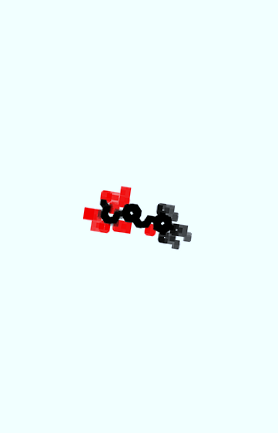 Cc1cc(C)c2c(c1C)OC(Cc1ccc(O)c([C@@H]3O[C@H](CO)[C@@H](O)C(O)[C@H]3O)c1)C2